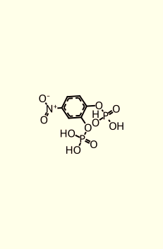 O=[N+]([O-])c1ccc(OP(=O)(O)O)c(OP(=O)(O)O)c1